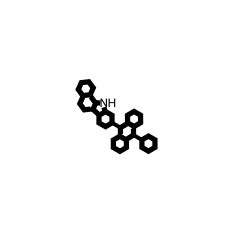 c1ccc(-c2c3ccccc3c(-c3ccc4c(c3)[nH]c3c5ccccc5ccc43)c3ccccc23)cc1